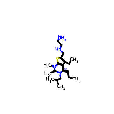 C=C1N(CC(C)C)/C(=C\CC)c2c(sc(CNCCN)c2CC)N1C